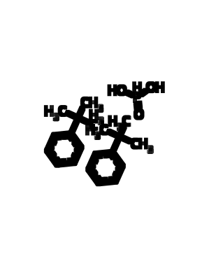 CC(C)(C)c1ccccc1.CC(C)(C)c1ccccc1.O=[PH](O)O